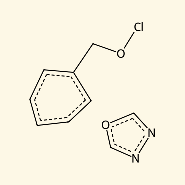 ClOCc1ccccc1.c1nnco1